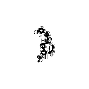 COC(=O)Nc1ccc2c(c1)NC(=O)[C@H](C)CCCC[C@H](NC(=O)c1cn(-c3cccc(Cl)c3F)nn1)c1ccnc-2c1